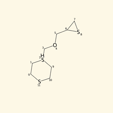 C1C[SH](COCC2CS2)CCS1